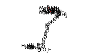 CC[C@]1(O)C[C@H]2CN(CCc3c([nH]c4ccccc34)[C@@](C(=O)OC)(c3cc4c(cc3OC)N(C)[C@H]3[C@@](O)(C(=O)NCCC[Si](C)(C)O[Si](C)(C)CSc5ncc(COCCOCCOCCn6cc(COCCOCCOCCOCCOCCOCCNC(=O)CC[C@H](NC(=O)c7ccc(NCc8cnc9nc(N)[nH]c(=O)c9n8)cc7)C(=O)O)nn6)cn5)[C@H](O)[C@]5(CC)C=CCN6CC[C@]43[C@@H]65)C2)C1